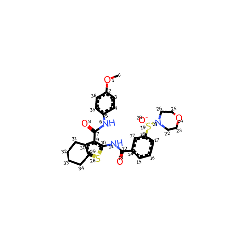 COc1ccc(NC(=O)c2c(NC(=O)c3cccc([S+]([O-])N4CCOCC4)c3)sc3c2CCCC3)cc1